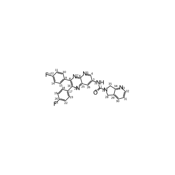 O=C(Nc1cnc2nc(-c3ccc(F)cc3)c(-c3ccc(F)cc3)nc2c1)N1Cc2cccnc2C1